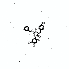 O=C(NC(Cc1ccc(O)cc1)C(=O)Oc1cc(Cl)c(Cl)cc1Cl)OCc1ccccc1